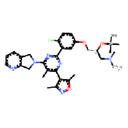 Cc1noc(C)c1-c1nc(-c2cc(OC[C@@H](CN(C)C(=O)O)O[Si](C)(C)C(C)(C)C)ccc2F)nc(N2Cc3cccnc3C2)c1C